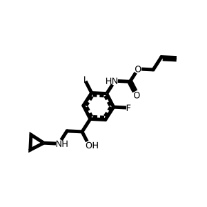 C=CCOC(=O)Nc1c(F)cc(C(O)CNC2CC2)cc1I